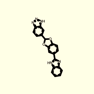 c1ccc2[nH]c(-c3ccc4c(c3)OC(c3ccc5nn[nH]c5c3)O4)nc2c1